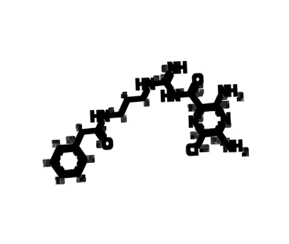 N=C(NCCCNC(=O)Cc1ccccc1)NC(=O)c1nc(Cl)c(N)nc1N